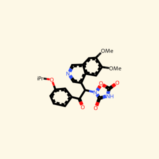 COc1cc2cncc(C(C(=O)c3cccc(OC(C)C)c3)n3oc(=O)[nH]c3=O)c2cc1OC